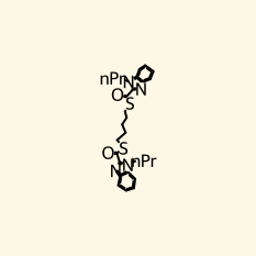 CCCn1c(C(=O)SCCCCCSC(=O)c2nc3ccccc3n2CCC)nc2ccccc21